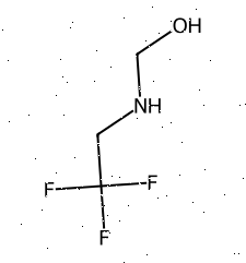 OCNCC(F)(F)F